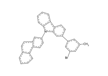 Cc1cc(Br)cc(-c2ccc3c4ccccc4n(-c4ccc5c(ccc6ccccc65)c4)c3c2)c1